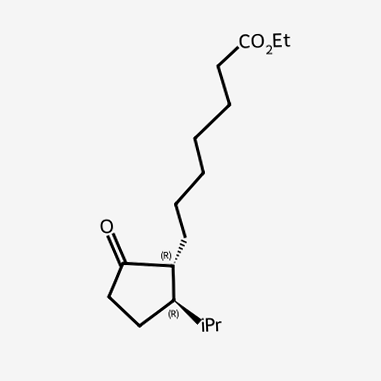 CCOC(=O)CCCCCC[C@H]1C(=O)CC[C@@H]1C(C)C